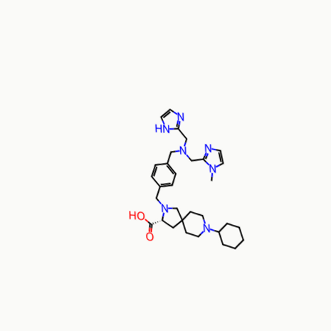 Cn1ccnc1CN(Cc1ccc(CN2CC3(CCN(C4CCCCC4)CC3)C[C@@H]2C(=O)O)cc1)Cc1ncc[nH]1